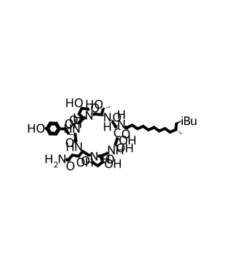 CC[C@H](C)C[C@H](C)CCCCCCCCC(=O)N[C@@H]1C[C@@H](O)[C@@H](O)NC(=O)[C@@H]2[C@@H](O)CCN2C(=O)[C@H]([C@H](O)CC(N)=O)NC(=O)[C@H](C[C@@H](O)c2ccc(O)cc2)NC(=O)[C@@H]2C[C@@H](O)CN2C(=O)[C@H]([C@@H](C)O)NC1=O